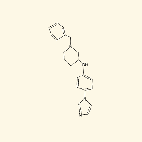 c1ccc(CN2CCCC(Nc3ccc(-n4ccnc4)cc3)C2)cc1